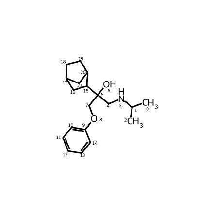 CC(C)NCC(O)(COc1ccccc1)C1CC2CCC1C2